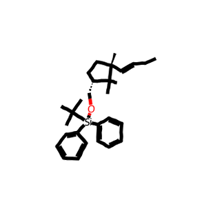 CC/C=C/[C@@]1(C)CC[C@@H](CO[Si](c2ccccc2)(c2ccccc2)C(C)(C)C)C1(C)C